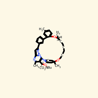 Cc1ccc2c(c1)-c1cccc(c1)-c1cc3nc(C)c([C@H](OC(C)(C)C)C(=O)O)c(n3n1)N1CCC(C)(CC1)OCCCCCC[C@H](C)O2